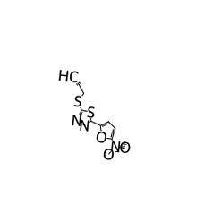 C#CCSc1nnc(-c2ccc([N+](=O)[O-])o2)s1